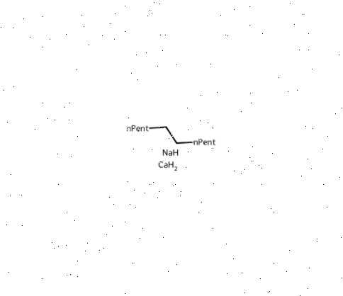 [CH2]CCCCCCCCCCC.[CaH2].[NaH]